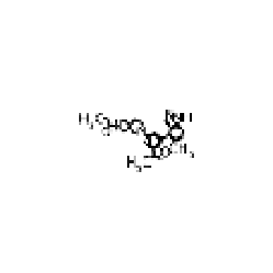 C=CC(=O)N1CC2(CCN(c3cc(-c4c(C)ccc5[nH]ncc45)c4occ(C)c4n3)C2)C1